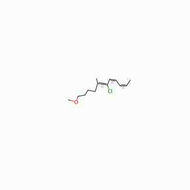 C\C=C/C=C\C(Cl)=C(/C)CCCCOC